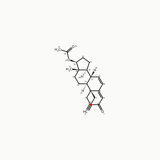 C#CC[C@]12CCC(=O)C=C1C=C[C@@H]1[C@@H]2CC[C@]2(C)[C@@H](OC(C)=O)CC[C@@H]12